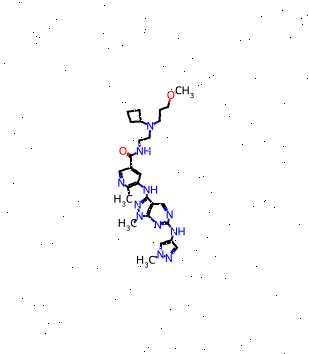 COCCCN(CCNC(=O)c1cnc(C)c(Nc2nn(C)c3nc(Nc4cnn(C)c4)ncc23)c1)C1CCC1